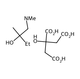 CCC(C)(O)CNC.O=C(O)CC(O)(CC(=O)O)C(=O)O